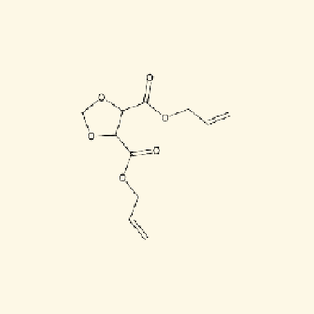 C=CCOC(=O)C1OCOC1C(=O)OCC=C